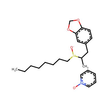 CCCCCCCC[S+]([O-])C(C)Cc1ccc2c(c1)OCO2.[O-][n+]1ccccc1